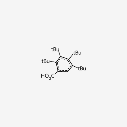 CC(C)(C)c1cc(C(=O)O)c(C(C)(C)C)c(C(C)(C)C)c1C(C)(C)C